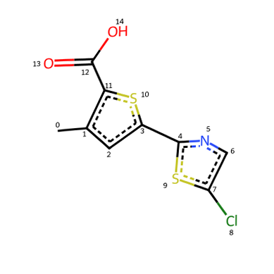 Cc1cc(-c2ncc(Cl)s2)sc1C(=O)O